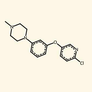 CN1CCN(c2cccc(Oc3ccc(Cl)nc3)c2)CC1